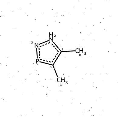 Cc1[nH]npc1C